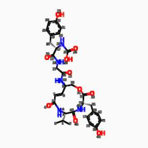 CC(C)[C@@H]1NC(=O)/C=C/[C@@H](NC(=O)CNC(=O)[C@H](Cc2ccc(O)cc2)NC(=O)O)COC(=O)[C@H](Cc2ccc(O)cc2)NC1=O